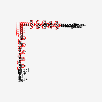 O=[Si]([O-])[O-].O=[Si]([O-])[O-].O=[Si]([O-])[O-].O=[Si]([O-])[O-].O=[Si]([O-])[O-].O=[Si]([O-])[O-].O=[Si]([O-])[O-].O=[Si]([O-])[O-].O=[Si]([O-])[O-].O=[Si]([O-])[O-].[Al+3].[Al+3].[Al+3].[Fe+3].[Fe+3].[Fe+3].[K+].[K+].[K+].[Mg+2].[Mg+2].[Mg+2].[Na+].[Na+].[Na+].[OH-].[OH-].[OH-].[OH-].[OH-].[OH-].[OH-].[OH-].[OH-].[OH-]